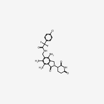 Bc1c(B)c2c(c(B)c1CNC(=O)C(F)(F)c1ccc(Cl)cc1)CN(C1CCC(=O)NC1=O)C2=O